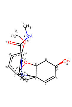 CNC(=O)N1CCC23C=C[C@H](O)CC2Oc2c(OC)ccc(c23)C1